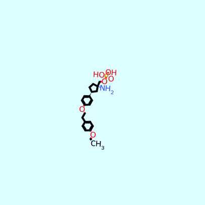 CCOc1ccc(CCOc2ccc([C@@H]3CC[C@@](N)(COP(=O)(O)O)C3)cc2)cc1